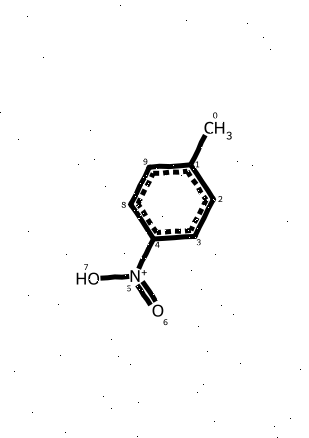 Cc1ccc([N+](=O)O)cc1